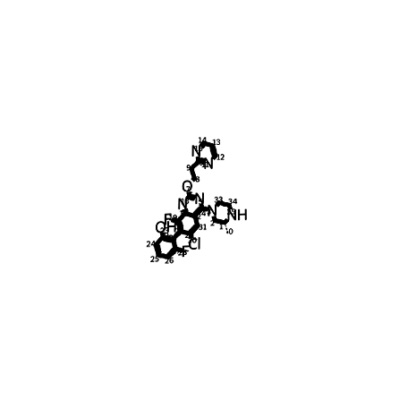 C[C@@H]1CN(c2nc(OCCc3ncccn3)nc3c(F)c(-c4c(O)cccc4F)c(Cl)cc23)CCN1